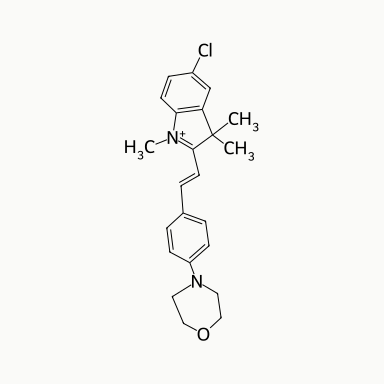 C[N+]1=C(/C=C/c2ccc(N3CCOCC3)cc2)C(C)(C)c2cc(Cl)ccc21